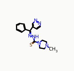 CN1CCN(C(=S)N/N=C(/c2ccccc2)c2ccnnc2)CC1